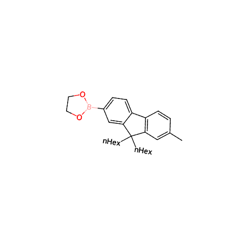 CCCCCCC1(CCCCCC)c2cc(C)ccc2-c2ccc(B3OCCO3)cc21